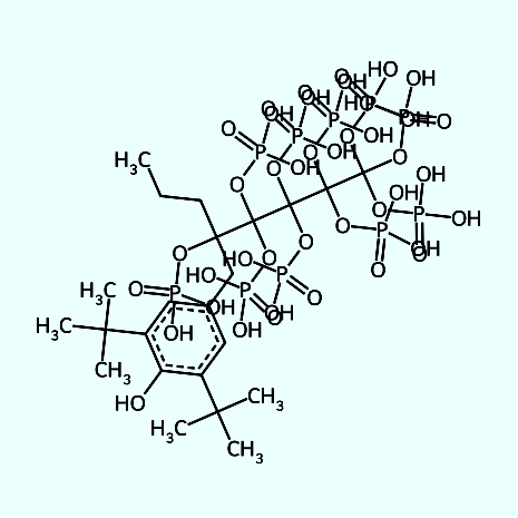 CCCC(Cc1cc(C(C)(C)C)c(O)c(C(C)(C)C)c1)(OP(=O)(O)O)C(OP(=O)(O)O)(OP(=O)(O)O)C(OP(=O)(O)O)(OP(=O)(O)O)C(OP(=O)(O)O)(OP(=O)(O)O)C(OP(=O)(O)O)(OP(=O)(O)O)OP(=O)(O)O